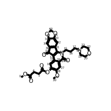 COC(=O)CCC(=O)Oc1cc2c3c(n(CCCN4CCOCC4)c(=O)c2cc1OC)-c1cc2c(cc1C3=O)OCO2